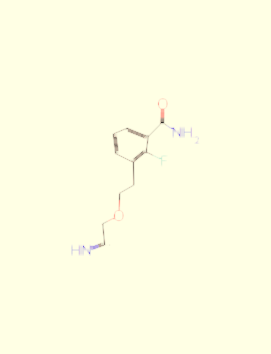 N=[C]COCCc1cccc(C(N)=O)c1F